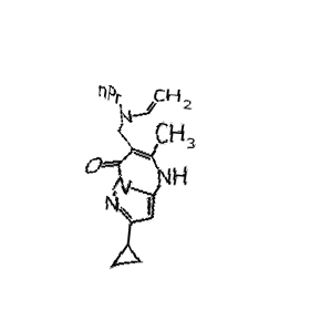 C=CN(CCC)Cc1c(C)[nH]c2cc(C3CC3)nn2c1=O